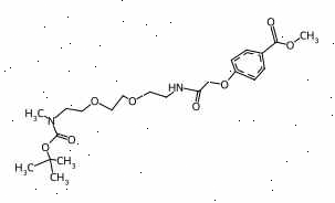 COC(=O)c1ccc(OCC(=O)NCCOCCOCCN(C)C(=O)OC(C)(C)C)cc1